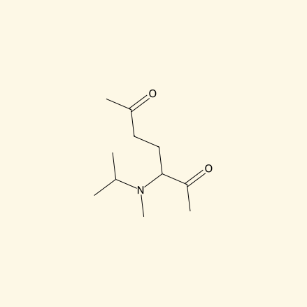 CC(=O)CCC(C(C)=O)N(C)C(C)C